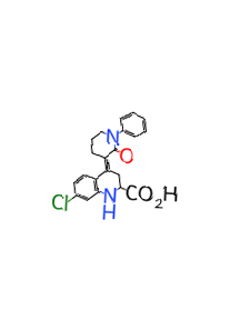 O=C(O)C1C/C(=C2/CCCN(c3ccccc3)C2=O)c2ccc(Cl)cc2N1